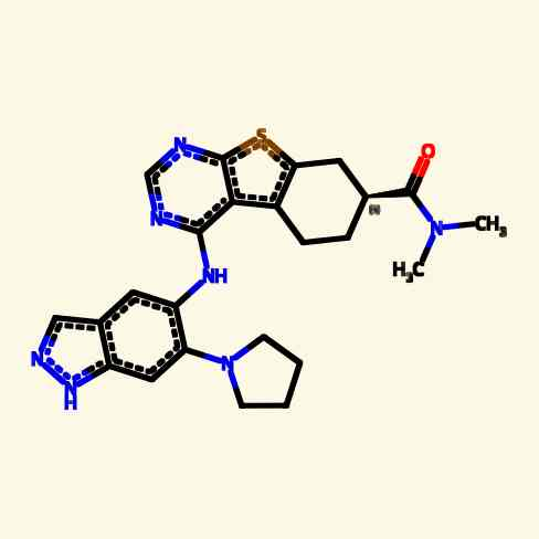 CN(C)C(=O)[C@H]1CCc2c(sc3ncnc(Nc4cc5cn[nH]c5cc4N4CCCC4)c23)C1